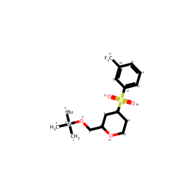 CC(C)(C)[Si](C)(C)OCC1CC(S(=O)(=O)c2cccc(C(F)(F)F)c2)CCO1